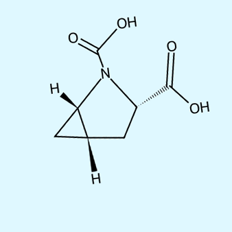 O=C(O)[C@@H]1C[C@@H]2C[C@@H]2N1C(=O)O